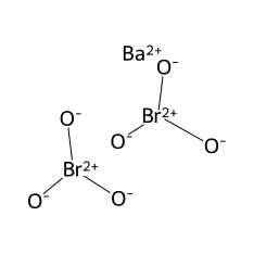 [Ba+2].[O-][Br+2]([O-])[O-].[O-][Br+2]([O-])[O-]